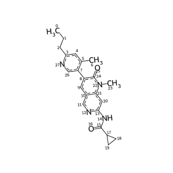 CCCc1cc(C)c(-c2cc3cnc(NC(=O)C4CC4)cc3n(C)c2=O)cn1